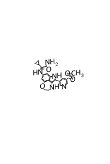 CS(=O)(=O)c1cncc(-c2[nH]c3cc(N[C@H](C(N)=O)C4CC4)cc4c3c2NCCO4)c1